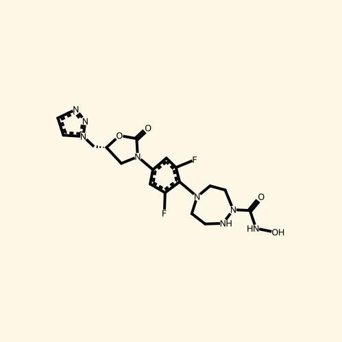 O=C(NO)N1CCN(c2c(F)cc(N3C[C@H](Cn4ccnn4)OC3=O)cc2F)CCN1